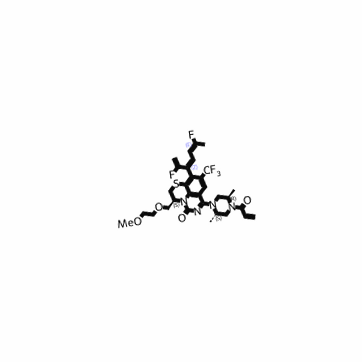 C=CC(=O)N1C[C@H](C)N(c2nc(=O)n3c4c(c(/C(=C/C=C(\C)F)C(=C)F)c(C(F)(F)F)cc24)SC[C@@H]3COCCOC)C[C@H]1C